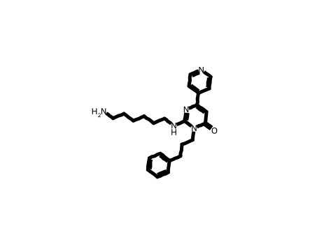 NCCCCCCNc1nc(-c2ccncc2)cc(=O)n1CCCc1ccccc1